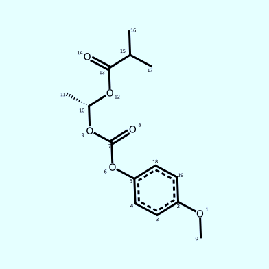 COc1ccc(OC(=O)O[C@H](C)OC(=O)C(C)C)cc1